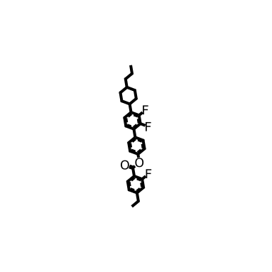 CCCC1CCC(c2ccc(-c3ccc(OC(=O)c4ccc(CC)cc4F)cc3)c(F)c2F)CC1